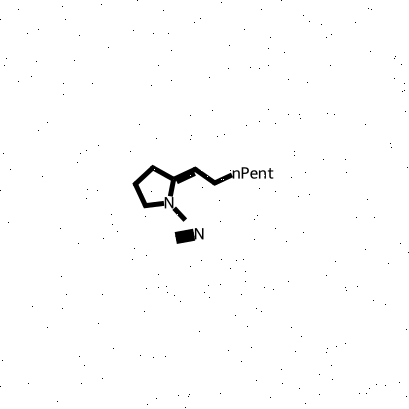 C#N.CCCCCCC=C1CCCN1C